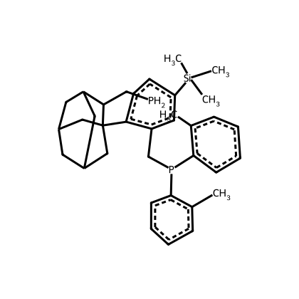 Cc1ccccc1P(Cc1cc([Si](C)(C)C)ccc1C12CC3CC(CC(C3)C1CP)C2)c1ccccc1C